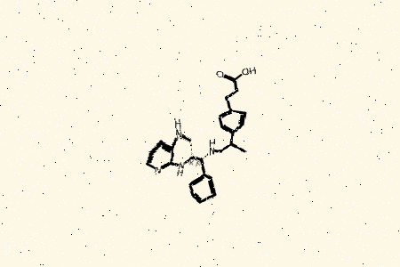 CC(CN[C@H](c1ccccc1)[C@H]1CNc2cccnc2N1)c1ccc(CCC(=O)O)cc1